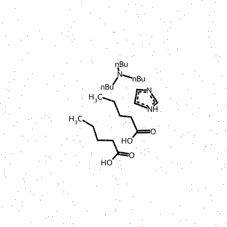 CCCCC(=O)O.CCCCC(=O)O.CCCCN(CCCC)CCCC.c1c[nH]cn1